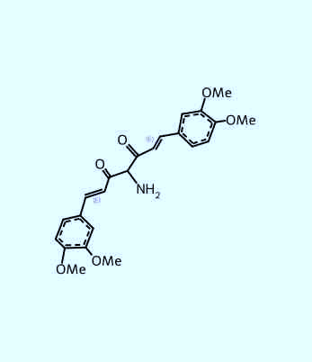 COc1ccc(/C=C/C(=O)C(N)C(=O)/C=C/c2ccc(OC)c(OC)c2)cc1OC